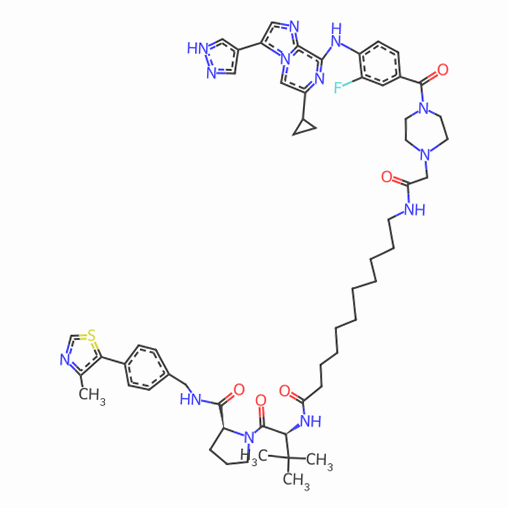 Cc1ncsc1-c1ccc(CNC(=O)[C@@H]2CCCN2C(=O)[C@@H](NC(=O)CCCCCCCCCCNC(=O)CN2CCN(C(=O)c3ccc(Nc4nc(C5CC5)cn5c(-c6cn[nH]c6)cnc45)c(F)c3)CC2)C(C)(C)C)cc1